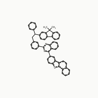 CC1(C)c2ccccc2-c2ccc(C(Cc3cccc(-c4nc(-c5ccc6oc7c8ccccc8ccc7c6c5)c5ccccc5n4)c3)c3ccccc3)cc21